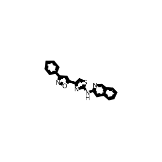 c1ccc(-c2cc(-c3csc(Nc4cc5ccccc5cn4)n3)on2)cc1